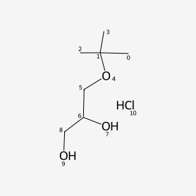 CC(C)(C)OCC(O)CO.Cl